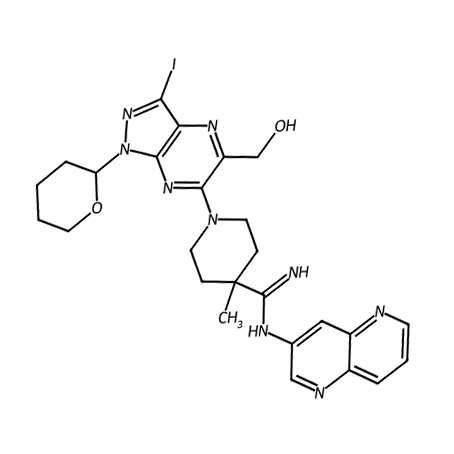 CC1(C(=N)Nc2cnc3cccnc3c2)CCN(c2nc3c(nc2CO)c(I)nn3C2CCCCO2)CC1